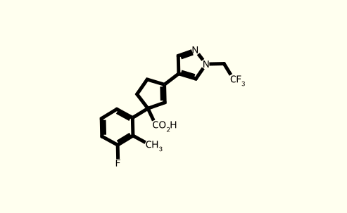 Cc1c(F)cccc1C1(C(=O)O)C=C(c2cnn(CC(F)(F)F)c2)CC1